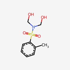 Cc1ccccc1S(=O)(=O)N(CO)CO